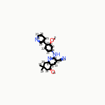 COc1cc(Nc2nc3c(cc2C#N)C(=O)CC(C)(C)C3)ccc1-c1cccnc1